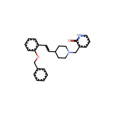 O=c1[nH]cccc1CN1CCC(C=Cc2ccccc2OCc2ccccc2)CC1